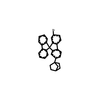 Brc1ccc2c(c1)C1(c3ccccc3-c3ccccc31)c1cc(C34CCC(CC3)C4)ccc1-2